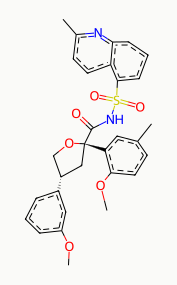 COc1cccc([C@@H]2CO[C@@](C(=O)NS(=O)(=O)c3cccc4nc(C)ccc34)(c3cc(C)ccc3OC)C2)c1